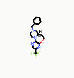 FC(F)(F)c1cnc2c(n1)OCC[C@H]1CN(Cc3ccccc3)CCN21